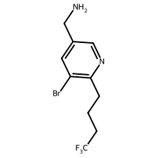 NCc1cnc(CCCC(F)(F)F)c(Br)c1